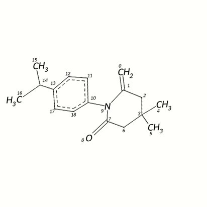 C=C1CC(C)(C)CC(=O)N1c1ccc(C(C)C)cc1